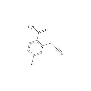 N#CCc1cc(Cl)ccc1C(N)=O